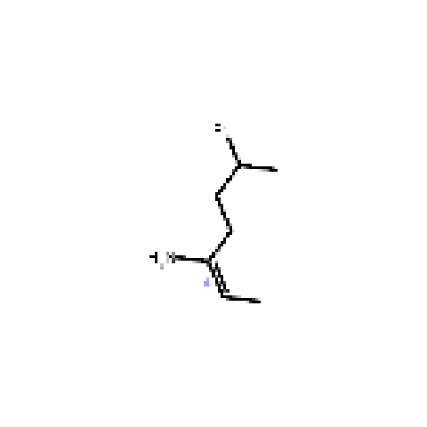 C/C=C(/N)CCC(C)C(C)C